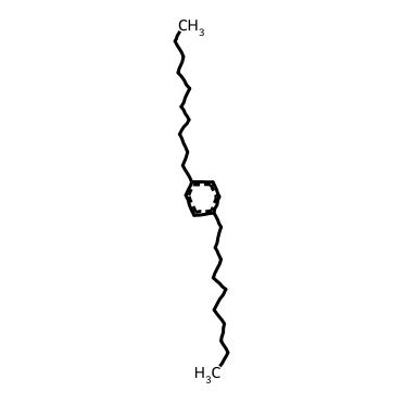 CCCCCCCCCCc1ccc(CCCCCCCCCC)cc1